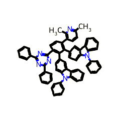 Cc1ccc(-c2ccc(-c3nc(-c4ccccc4)nc(-c4ccccc4)n3)c(-c3ccc4c(c3)c3ccccc3n4-c3ccccc3)c2-c2ccc3c(c2)c2ccccc2n3-c2ccccc2)c(C)n1